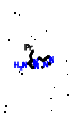 CC(C)CCc1c(N)cnn1Cc1cncn1C